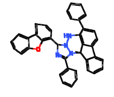 CC12c3ccccc3-c3ccc(-c4ccccc4)c(c31)NN1C(c3cccc4c3oc3ccccc34)N=C(c3ccccc3)N12